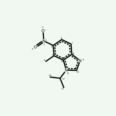 Cc1c([N+](=O)[O-])ccc2ncn(C(C)C)c12